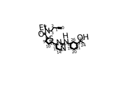 C#CCCN(CC)C(=O)c1ccc(-c2ccnc(Nc3cccc(C(C)O)c3)n2)s1